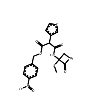 CSC1(NC(=O)C(C(=O)OCc2ccc([N+](=O)[O-])cc2)c2ccsc2)CNC1=O